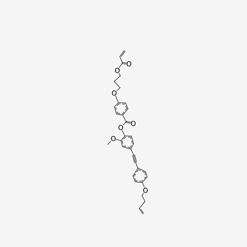 C=CCCOc1ccc(C#Cc2ccc(OC(=O)c3ccc(OCCCOC(=O)C=C)cc3)c(OC)c2)cc1